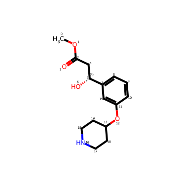 COC(=O)C[C@@H](O)c1cccc(OC2CCNCC2)c1